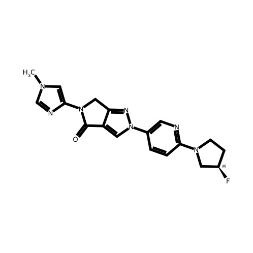 Cn1cnc(N2Cc3nn(-c4ccc(N5CC[C@@H](F)C5)nc4)cc3C2=O)c1